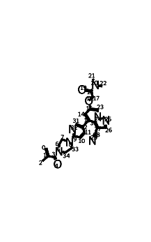 C=C(C)C(=O)N1CCN(c2ccc(-c3cc(OCC(=O)N(C)C)cn4ncc(C#N)c34)cn2)CC1